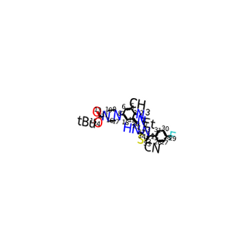 CCn1nc2c(C)cc(N3CCN(C(=O)OC(C)(C)C)CC3)cc2c1Nc1nc(-c2ccc(F)cc2)c(C#N)s1